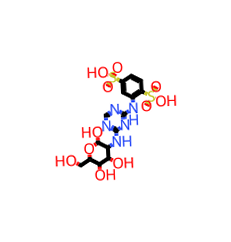 O=S(=O)(O)c1ccc(S(=O)(=O)O)c(Nc2ncnc(NC3C(O)OC(CO)C(O)C3O)n2)c1